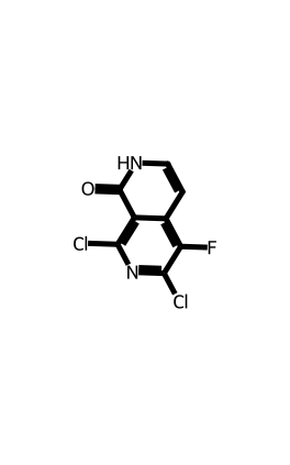 O=c1[nH]ccc2c(F)c(Cl)nc(Cl)c12